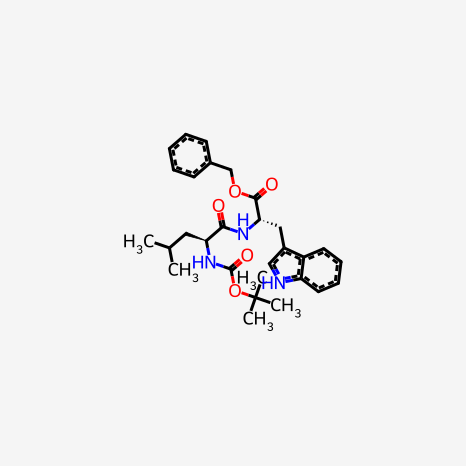 CC(C)C[C@H](NC(=O)OC(C)(C)C)C(=O)N[C@@H](Cc1c[nH]c2ccccc12)C(=O)OCc1ccccc1